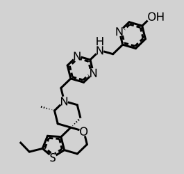 CCc1cc2c(s1)CCO[C@@]21CCN(Cc2cnc(NCc3ccc(O)cn3)nc2)[C@@H](C)C1